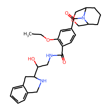 CCOc1cc(C(=O)N2C3CCCC2COC3)ccc1C(=O)NCC(O)C1Cc2ccccc2CN1